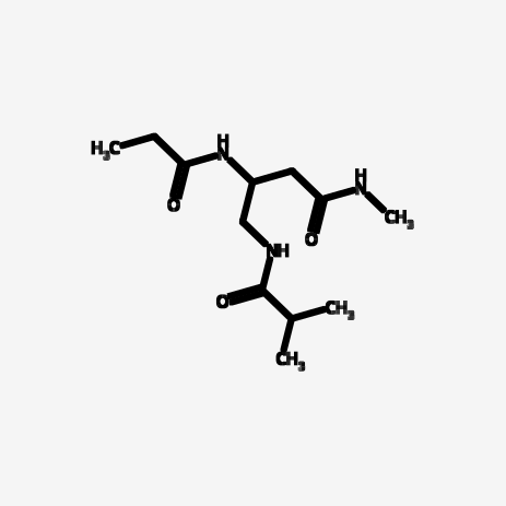 CCC(=O)NC(CNC(=O)C(C)C)CC(=O)NC